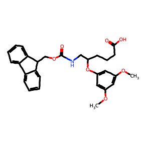 COc1cc(OC)cc(OC(CCCC(=O)O)CNC(=O)OCC2c3ccccc3-c3ccccc32)c1